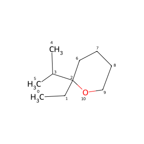 CCC1(C(C)C)CCCCO1